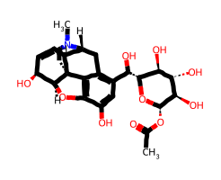 CC(=O)O[C@@H]1O[C@H](C(O)c2cc(O)c3c4c2C[C@@H]2[C@@H]5C=C[C@H](O)[C@H](O3)[C@]45CCN2C)[C@@H](O)[C@H](O)[C@H]1O